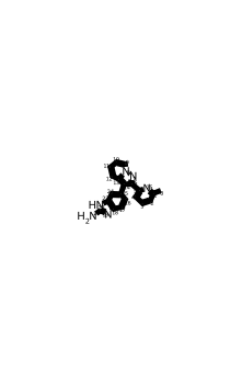 Cc1cccc(-c2nn3ccccc3c2-c2ccc3nc(N)[nH]c3c2)n1